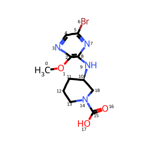 COc1ncc(Br)nc1N[C@@H]1CCCN(C(=O)O)C1